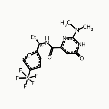 CC[C@@H](NC(=O)c1cc(=O)[nH]c(N(C)C)n1)c1ccc(S(F)(F)(F)(F)F)cc1